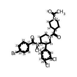 CC(=O)N1CCC(C(=O)N2CCC(N(C)C(=O)c3ccc(Br)cc3)C(c3ccc(Cl)c(Cl)c3)C2)CC1